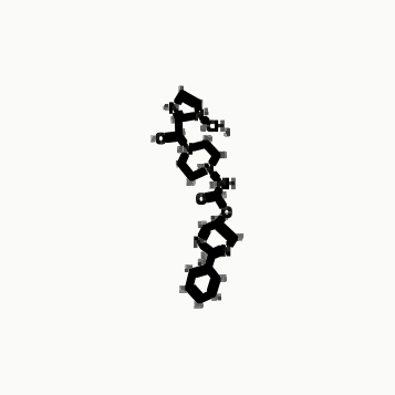 Cn1ccnc1C(=O)N1CCN(NC(=O)Oc2cnc(-c3ccccc3)nc2)CC1